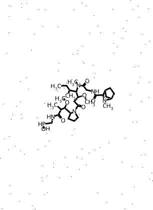 CCC(C)C(C(CC(=O)N1CCCC1C(OC)C(C)C(=O)NCPO)OC)N(C)C(=O)CNC(=O)C1C2CCC(C2)N1C